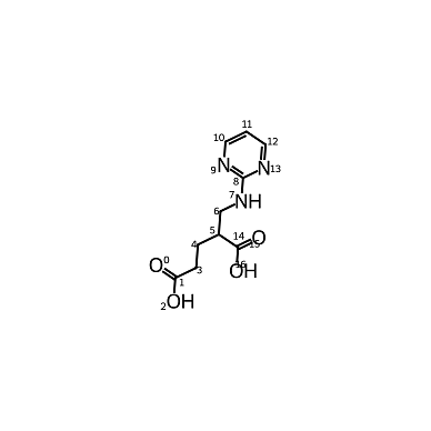 O=C(O)CCC(CNc1ncccn1)C(=O)O